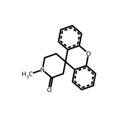 CN1CCC2(CC1=O)c1ccccc1Oc1ccccc12